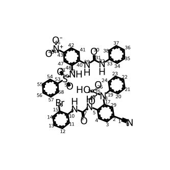 N#Cc1ccc(NC(=O)Nc2ccccc2Br)c(N(c2ccccc2)S(=O)(=O)O)c1.O=C(Nc1ccccc1)Nc1ccc([N+](=O)[O-])cc1NS(=O)(=O)c1ccccc1